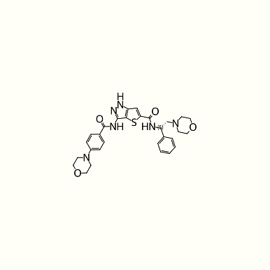 O=C(Nc1n[nH]c2cc(C(=O)N[C@H](CN3CCOCC3)c3ccccc3)sc12)c1ccc(N2CCOCC2)cc1